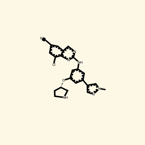 Cn1cc(-c2cc(Nc3ncc4cc(C#N)cc(Cl)c4n3)cc(O[C@H]3CCNC3)c2)cn1